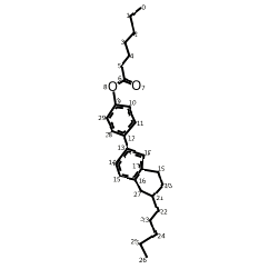 CCCCCCC(=O)Oc1ccc(-c2ccc3c(c2)CCC(CCCCC)C3)cc1